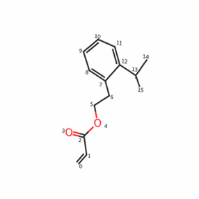 C=CC(=O)OCCc1ccccc1[C](C)C